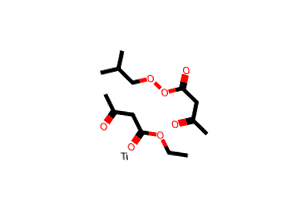 CC(=O)CC(=O)OOCC(C)C.CCOC(=O)CC(C)=O.[Ti]